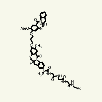 COc1cc2c(cc1OCCCOc1cc3c(cc1C)C(=O)N1c4ccc(N(C)C(=O)NCC(=O)NCC(=O)NCC(=O)NCC(C)=O)cc4C[C@H]1C=N3)N=C[C@@H]1Cc3ccccc3N1C2=O